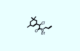 C=CCN(CC)C(=O)C(Cl)C1=CC(C)CC(C)(C)C1